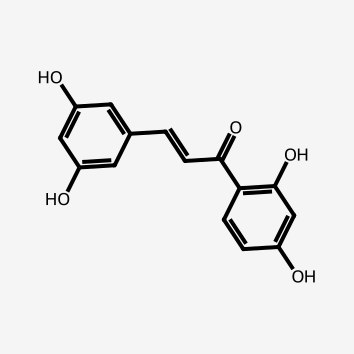 O=C(/C=C/c1cc(O)cc(O)c1)c1ccc(O)cc1O